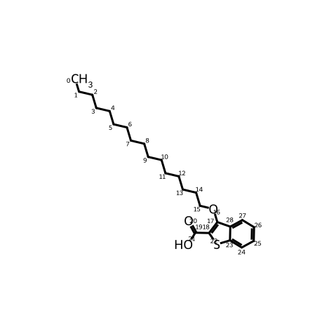 CCCCCCCCCCCCCCCCOc1c(C(=O)O)sc2ccccc12